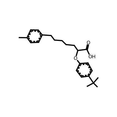 Cc1ccc(CCCCCC(Oc2ccc(C(C)(C)C)cc2)C(=O)O)cc1